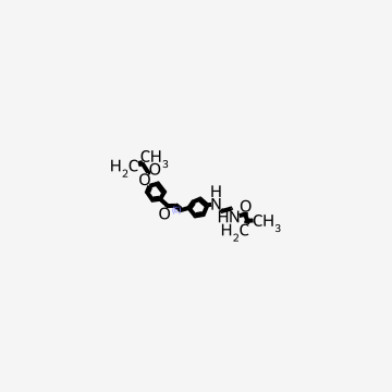 C=C(C)C(=O)NCCNc1ccc(/C=C/C(=O)c2ccc(OC(=O)C(=C)C)cc2)cc1